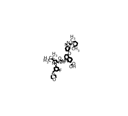 C[C@@H]1CCC[C@H](C)N1c1nnc2ccc(O[C@@H]3CC[C@H](NC(=O)Nc4cc(C(C)(C)C)nn4-c4cc(F)cc(CN5CCOCC5)c4)c4ccccc43)cn12.O=CO